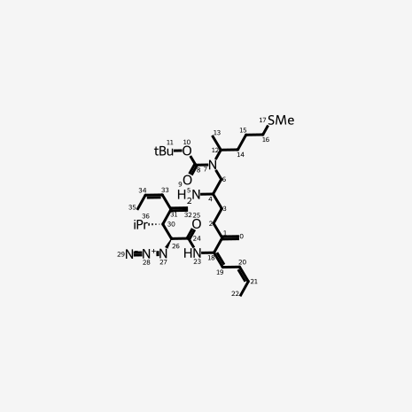 C=C(CCC(N)CN(C(=O)OC(C)(C)C)C(C)CCCSC)/C(=C\C=C/C)NC(=O)[C@@H](N=[N+]=[N-])[C@@H](C(=C)/C=C\C)C(C)C